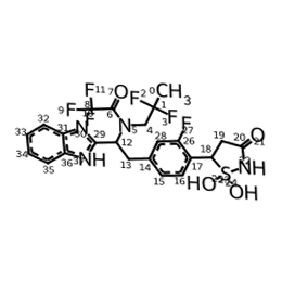 CC(F)(F)CN(C(=O)C(F)(F)F)C(Cc1ccc(C2CC(=O)NS2(O)O)c(F)c1)c1nc2ccccc2[nH]1